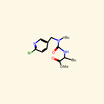 CCCCN(Cc1ccc(Br)nc1)C(=O)NC(C(=O)OC)C(C)CC